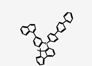 CC1(C)c2ccccc2-c2cccc(N(c3ccc(-c4ccc(-c5ccccc5)cc4)cc3)c3cccc(-c4cccc5ccccc45)c3)c21